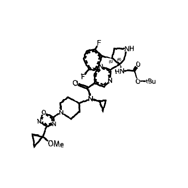 COC1(c2noc(N3CCC(N(C(=O)c4cnc([C@]5(NC(=O)OC(C)(C)C)CNC[C@@H]5c5cc(F)ccc5F)nc4)C4CC4)CC3)n2)CC1